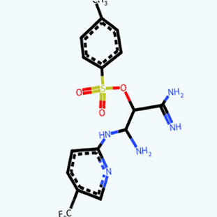 Cc1ccc(S(=O)(=O)OC(C(=N)N)C(N)Nc2ccc(C(F)(F)F)cn2)cc1